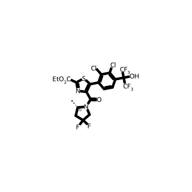 CCOC(=O)c1nc(C(=O)N2CC(F)(F)C[C@@H]2C)c(-c2ccc(C(O)(C(F)(F)F)C(F)(F)F)c(Cl)c2Cl)s1